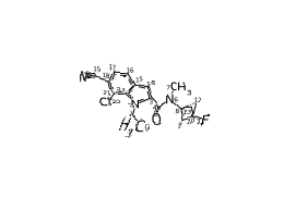 CCn1c(C(=O)N(C)C23CC(F)(C2)C3)cc2ccc(C#N)c(Cl)c21